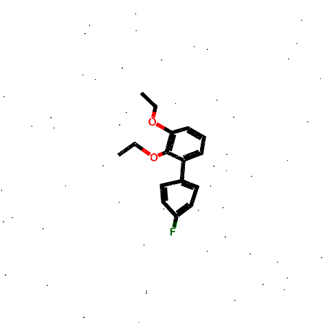 CCOc1cccc(-c2ccc(F)cc2)c1OCC